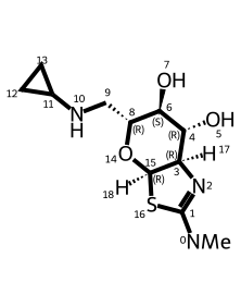 CNC1=N[C@@H]2[C@@H](O)[C@H](O)[C@@H](CNC3CC3)O[C@@H]2S1